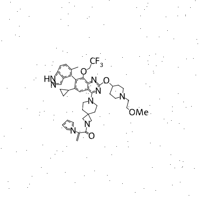 C=C(C(=O)N1CC2(CCN(c3nc(OC4CCN(CCOC)CC4)nc4c(OCC(F)(F)F)c(-c5c(C)ccc6[nH]ncc56)c(C5CC5)cc34)CC2)C1)n1cccc1